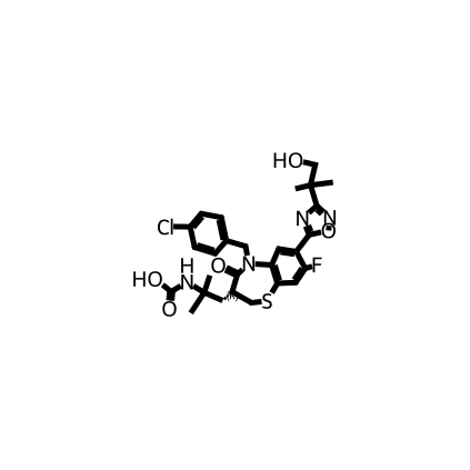 CC(C)(C[C@H]1CSc2cc(F)c(-c3nc(C(C)(C)CO)no3)cc2N(Cc2ccc(Cl)cc2)C1=O)NC(=O)O